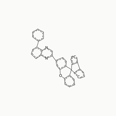 c1ccc(-c2cccc3nc(-c4ccc5c(c4)Oc4ccccc4C54c5ccccc5-c5ccccc54)cnc23)cc1